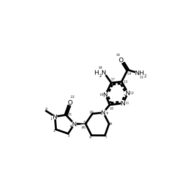 CN1CCN([C@@H]2CCCN(c3nnc(C(N)=O)c(N)n3)C2)C1=O